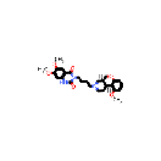 COc1cc2[nH]c(=O)n(CCCCN3CC[C@@H]4c5c(OC)cccc5OC[C@H]4C3)c(=O)c2cc1OC